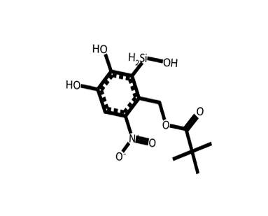 CC(C)(C)C(=O)OCc1c([N+](=O)[O-])cc(O)c(O)c1[SiH2]O